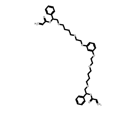 C=CC(=O)OC(COCCCCOCCOc1cccc(OCCOCCCCOCC(OC(=O)C=C)c2ccccc2)c1)c1ccccc1